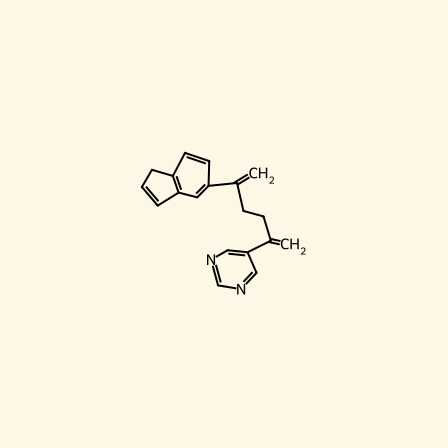 C=C(CCC(=C)c1ccc2c(c1)C=CC2)c1cncnc1